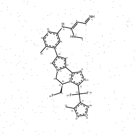 CN/C(=C\C=N)Nc1cc(-c2cc3n(c2)C[C@H](CF)n2c-3nnc2C(F)(F)c2nonc2C)c(C)cn1